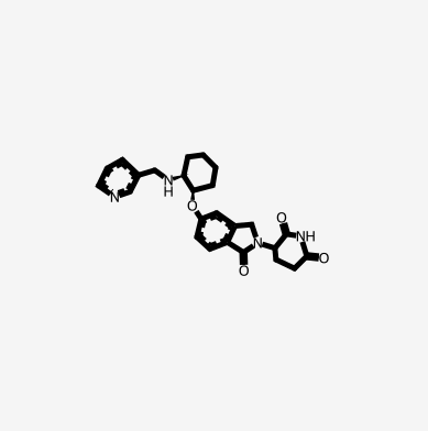 O=C1CCC(N2Cc3cc(O[C@@H]4CCCC[C@@H]4NCc4cccnc4)ccc3C2=O)C(=O)N1